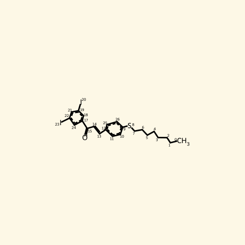 CCCCCCCCSc1ccc(C=CC(=O)c2cc(I)cc(I)c2)cc1